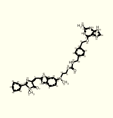 CN1C(=O)/C(=C\c2nc3ccc(N(C)CCOC(=O)NCc4ccc(COc5nc(N)nc6[nH]cnc56)cc4)cc3o2)N=C1c1ccccc1